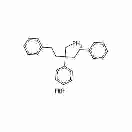 Br.PCC(CCc1ccccc1)(CCc1ccccc1)c1ccccc1